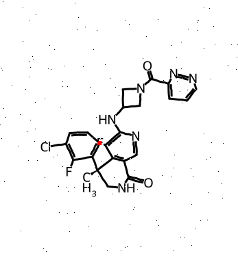 C[C@]1(c2cccc(Cl)c2F)CNC(=O)c2cnc(NC3CN(C(=O)c4cccnn4)C3)c(F)c21